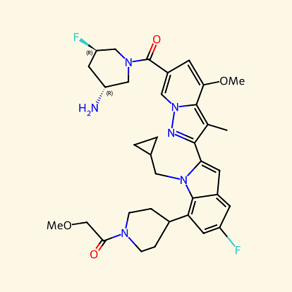 COCC(=O)N1CCC(c2cc(F)cc3cc(-c4nn5cc(C(=O)N6C[C@H](N)C[C@@H](F)C6)cc(OC)c5c4C)n(CC4CC4)c23)CC1